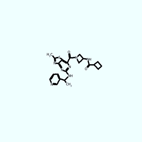 Cc1nc2nc(NC(C)c3cccnc3)nc(C(=O)N3CC(NC(=O)C4CCC4)C3)c2s1